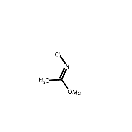 CO/C(C)=N/Cl